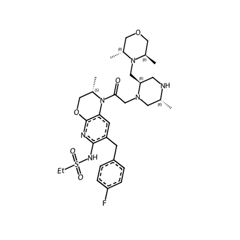 CCS(=O)(=O)Nc1nc2c(cc1Cc1ccc(F)cc1)N(C(=O)CN1C[C@@H](C)NC[C@@H]1CN1[C@H](C)COC[C@H]1C)[C@@H](C)CO2